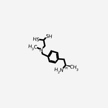 C[C@@H](N)Cc1ccc(CN(C)CC(S)S)cc1